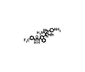 CC(C)c1nc(-c2ccc(NC(=O)Nc3cccc(C(F)(F)F)c3)c3ccccc23)c2c(N)ncc(C3=CCC(N)CC3)n12